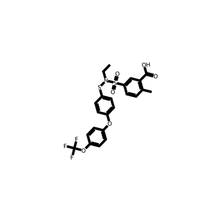 CCN(Sc1ccc(Oc2ccc(OC(F)(F)F)cc2)cc1)S(=O)(=O)c1ccc(C)c(C(=O)O)c1